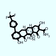 NC(=O)C1=C(O)C[C@@H]2C[C@@H]3Cc4c(-c5ccc(C(F)(F)F)cc5)ccc(O)c4C(=O)C3=C(O)[C@]2(O)C1=O